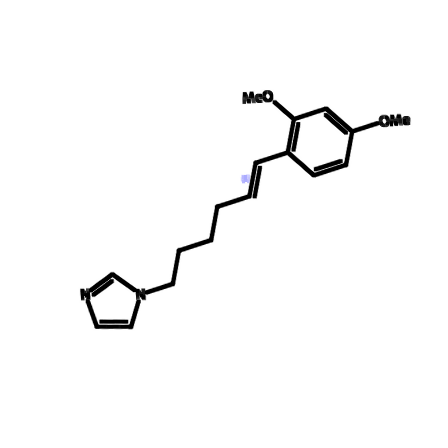 COc1ccc(/C=C/CCCCn2ccnc2)c(OC)c1